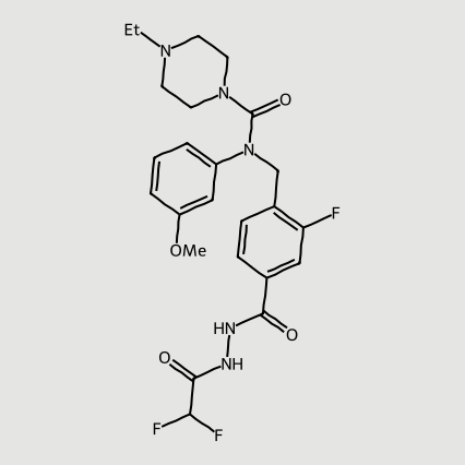 CCN1CCN(C(=O)N(Cc2ccc(C(=O)NNC(=O)C(F)F)cc2F)c2cccc(OC)c2)CC1